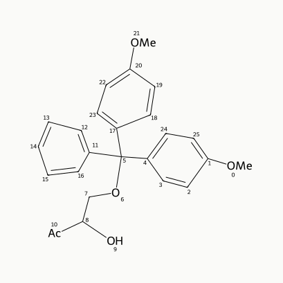 COc1ccc(C(OCC(O)C(C)=O)(c2ccccc2)c2ccc(OC)cc2)cc1